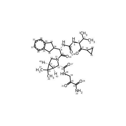 CC(C)[C@H](NC(=O)N[C@H](C(=O)N1C[C@H]2[C@@H]([C@H]1C(=O)NCC(=O)C(N)=O)C2(C)C)C1Cc2ccccc2C1)C(=O)C1CC1